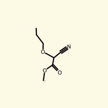 [CH2]OC(=O)C(C#N)OCCC